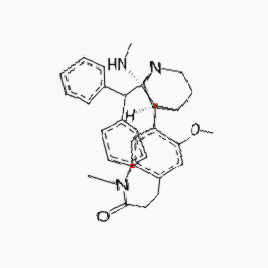 CN[C@@]1(C(c2ccccc2)c2ccccc2)[C@H](c2cc3c(cc2OC)CCC(=O)N3C)C2CCN1CC2